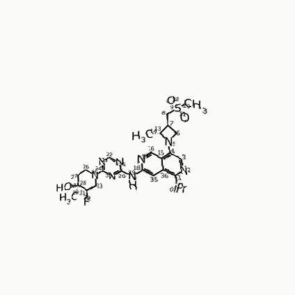 CC(C)c1ncc(N2C[C@H](CS(C)(=O)=O)[C@H]2C)c2cnc(Nc3ncnc(N4CC[C@](C)(O)[C@H](F)C4)n3)cc12